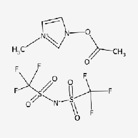 CC(=O)On1cc[n+](C)c1.O=S(=O)([N-]S(=O)(=O)C(F)(F)F)C(F)(F)F